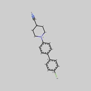 N#CC1CCN(c2ccc(-c3ccc(F)cc3)cc2)CC1